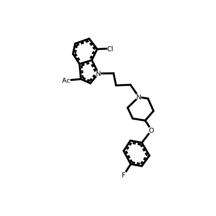 CC(=O)c1cn(CCCN2CCC(Oc3ccc(F)cc3)CC2)c2c(Cl)cccc12